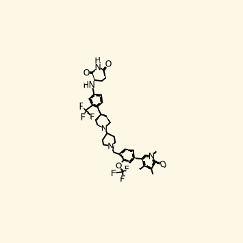 Cc1c(-c2ccc(CN3CCC(N4CCC(c5ccc(NC6CCC(=O)NC6=O)cc5C(F)(F)F)CC4)CC3)c(OC(F)(F)F)c2)cn(C)c(=O)c1C